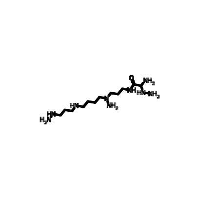 NNCCCNCCCCN(N)CCCNC(=O)C(N)NN